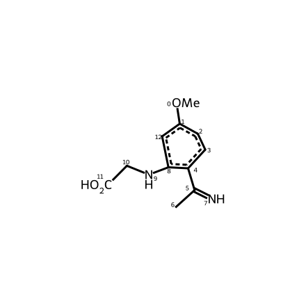 COc1ccc(C(C)=N)c(NCC(=O)O)c1